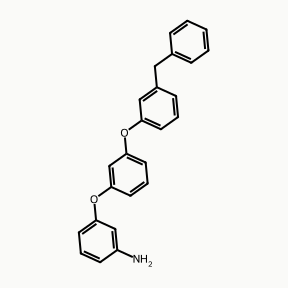 Nc1cccc(Oc2cccc(Oc3cccc(Cc4ccccc4)c3)c2)c1